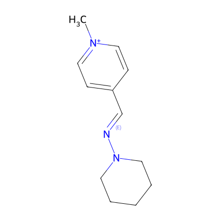 C[n+]1ccc(/C=N/N2CCCCC2)cc1